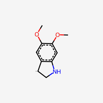 COc1cc2c(cc1OC)NC[CH]2